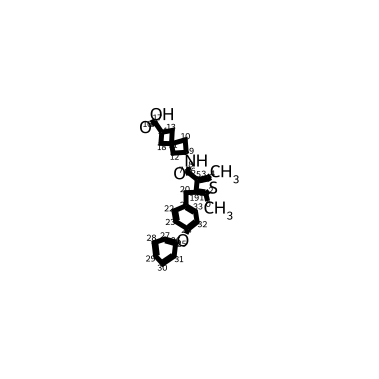 Cc1sc(C)c(C(=O)NC2CC3(C2)CC(C(=O)O)C3)c1Cc1ccc(Oc2ccccc2)cc1